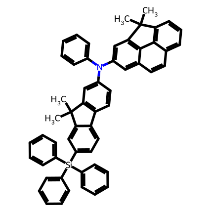 CC1(C)c2cc(N(c3ccccc3)c3cc4c5c(ccc6cccc(c65)C4(C)C)c3)ccc2-c2ccc([Si](c3ccccc3)(c3ccccc3)c3ccccc3)cc21